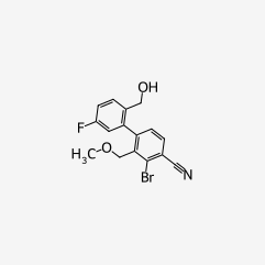 COCc1c(-c2cc(F)ccc2CO)ccc(C#N)c1Br